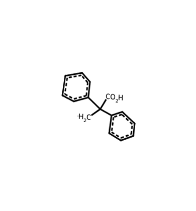 [CH2]C(C(=O)O)(c1ccccc1)c1ccccc1